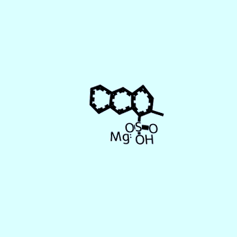 Cc1ccc2cc3ccccc3cc2c1S(=O)(=O)O.[Mg]